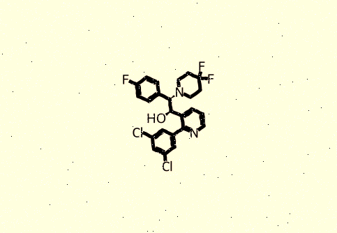 O[C@H](c1cccnc1-c1cc(Cl)cc(Cl)c1)[C@H](c1ccc(F)cc1)N1CCC(F)(F)CC1